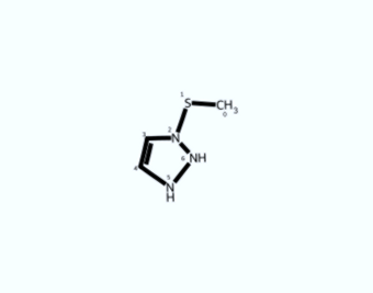 CSN1C=CNN1